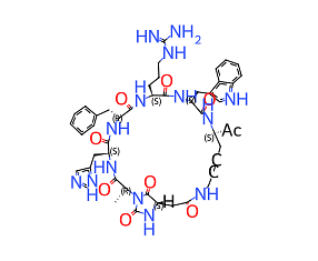 CC(=O)[C@@H]1CCCCNC(=O)C[C@@H]2NC(=O)N(C2=O)[C@H](C)C(=O)N[C@@H](Cc2cnc[nH]2)C(=O)N[C@H](Cc2ccccc2)C(=O)N[C@@H](CCCNC(=N)N)C(=O)N[C@@H](Cc2c[nH]c3ccccc23)C(=O)N1